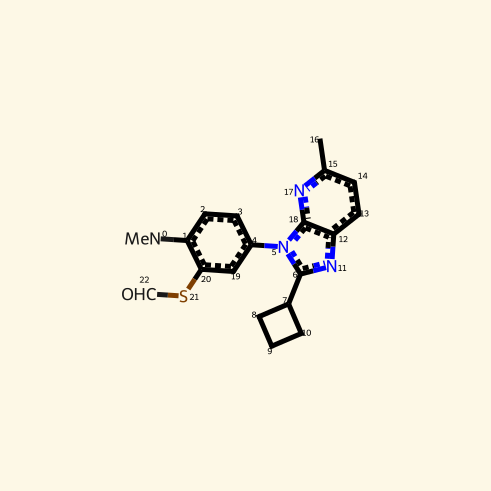 CNc1ccc(-n2c(C3CCC3)nc3ccc(C)nc32)cc1SC=O